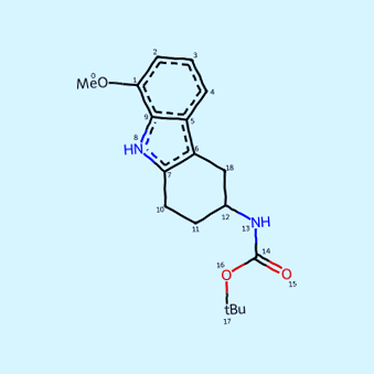 COc1cccc2c3c([nH]c12)CCC(NC(=O)OC(C)(C)C)C3